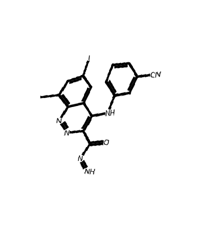 Cc1cc(I)cc2c(Nc3cccc(C#N)c3)c(C(=O)N=N)nnc12